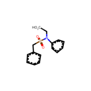 O=C(O)CN(c1ccccc1)S(=O)(=O)Cc1ccccc1